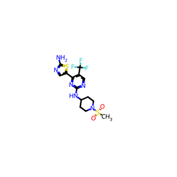 CS(=O)(=O)N1CCC(Nc2ncc(C(F)(F)F)c(-c3cnc(N)s3)n2)CC1